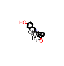 COc1cc(O)ccc1/C=C/C1=CC(=O)C2CC1C2(C)C